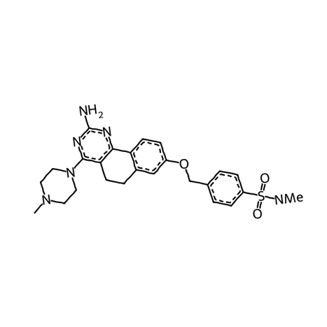 CNS(=O)(=O)c1ccc(COc2ccc3c(c2)CCc2c-3nc(N)nc2N2CCN(C)CC2)cc1